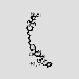 O=C(O)C(Cc1ccccc1)NS(=O)(=O)c1cnc(N2CCC(CCCCCC3CCN(S(=O)(=O)c4cc(Br)c(Cl)s4)CC3)CC2)c(Cl)c1